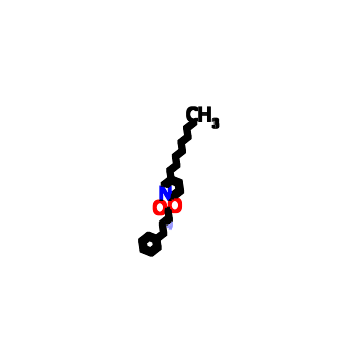 CCCCCCCCCc1ccc(OC(=O)/C=C/Cc2ccccc2)nc1